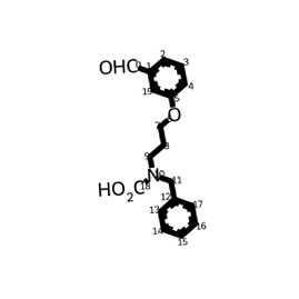 O=Cc1cccc(OCCCN(Cc2ccccc2)C(=O)O)c1